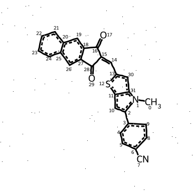 Cn1c(-c2ccc(C#N)cc2)cc2sc(C=C3C(=O)c4cc5ccccc5cc4C3=O)cc21